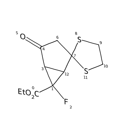 CCOC(=O)C1(F)C2C(=O)CC3(SCCS3)C21